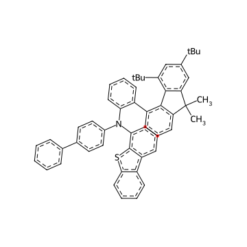 CC(C)(C)c1cc(C(C)(C)C)c2c(c1)C(C)(C)c1cccc(-c3ccccc3N(c3ccc(-c4ccccc4)cc3)c3cccc4c3sc3ccccc34)c1-2